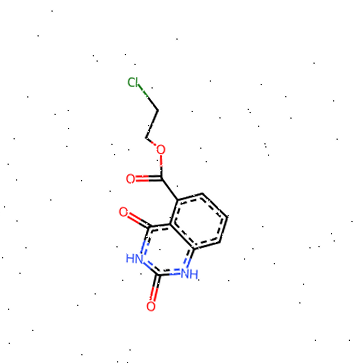 O=C(OCCCl)c1cccc2[nH]c(=O)[nH]c(=O)c12